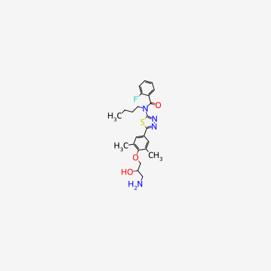 CCCCN(C(=O)c1ccccc1F)c1nnc(-c2cc(C)c(OCC(O)CN)c(C)c2)s1